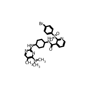 Cc1cnc(NC2CCC(NC(=O)c3cccnc3S(=O)(=O)c3ccc(Br)cc3)CC2)nc1N(C)C